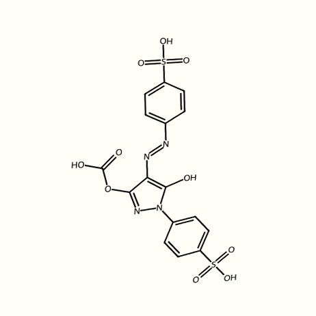 O=C(O)Oc1nn(-c2ccc(S(=O)(=O)O)cc2)c(O)c1N=Nc1ccc(S(=O)(=O)O)cc1